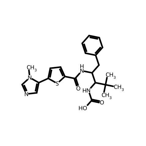 Cn1cncc1-c1ccc(C(=O)NC(Cc2ccccc2)C(NC(=O)O)C(C)(C)C)s1